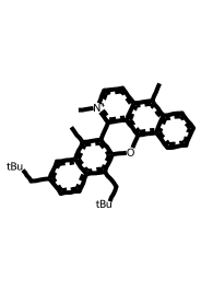 Cc1c2c(c(CC(C)(C)C)c3ccc(CC(C)(C)C)cc13)Oc1c3ccccc3c(C)c3cc[n+](C)c-2c13